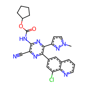 Cn1ccc(-c2nc(NC(=O)OC3CCCC3)c(C#N)nc2-c2cc(Cl)c3ncccc3c2)n1